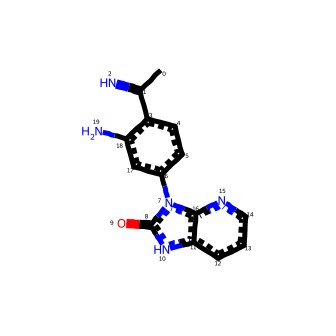 CC(=N)c1ccc(-n2c(=O)[nH]c3cccnc32)cc1N